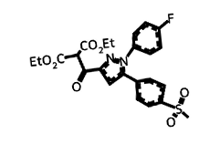 CCOC(=O)C(C(=O)OCC)C(=O)c1cc(-c2ccc(S(C)(=O)=O)cc2)n(-c2ccc(F)cc2)n1